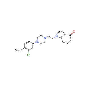 COc1ccc(N2CCN(CCn3ccc4c3CCCC4=O)CC2)cc1Cl